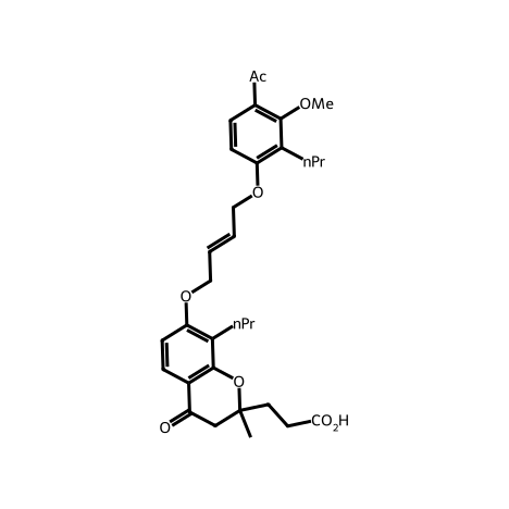 CCCc1c(OCC=CCOc2ccc3c(c2CCC)OC(C)(CCC(=O)O)CC3=O)ccc(C(C)=O)c1OC